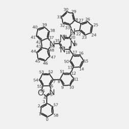 c1ccc(-c2nc3c(-c4cccc(-c5cccc(-c6nc(-n7c8ccccc8c8ccccc87)nc(-n7c8ccccc8c8ccccc87)n6)c5)c4)cccc3o2)cc1